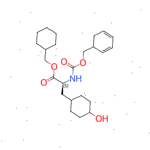 O=C(N[C@@H](CC1CCC(O)CC1)C(=O)OCC1CCCCC1)OCC1C=CC=CC1